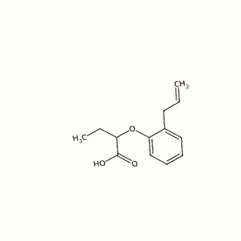 C=CCc1ccccc1OC(CC)C(=O)O